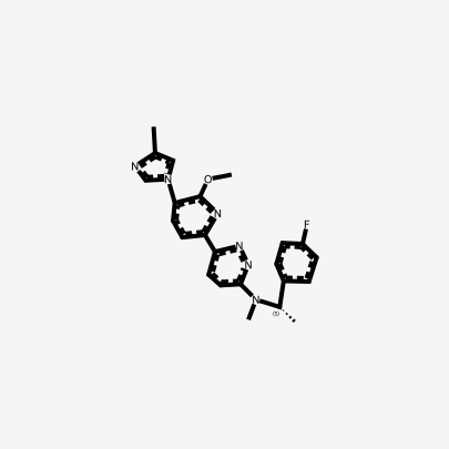 COc1nc(-c2ccc(N(C)[C@@H](C)c3ccc(F)cc3)nn2)ccc1-n1cnc(C)c1